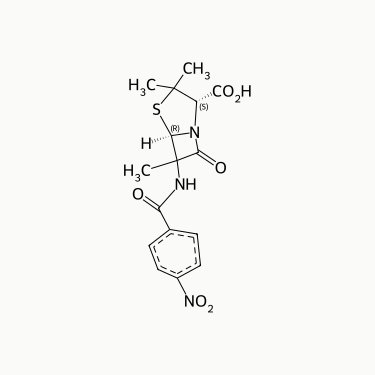 CC1(C)S[C@H]2N(C(=O)C2(C)NC(=O)c2ccc([N+](=O)[O-])cc2)[C@H]1C(=O)O